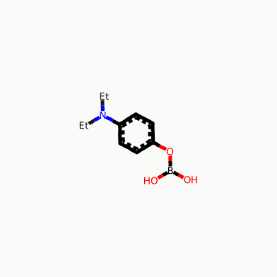 CCN(CC)c1ccc(OB(O)O)cc1